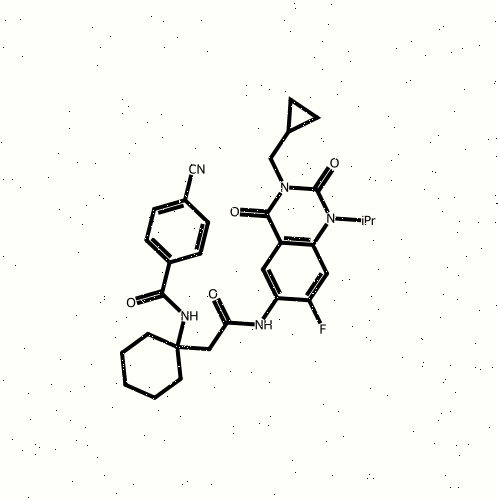 CC(C)n1c(=O)n(CC2CC2)c(=O)c2cc(NC(=O)CC3(NC(=O)c4ccc(C#N)cc4)CCCCC3)c(F)cc21